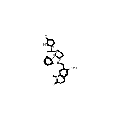 COc1cc2c(cc1CN[C@H]1CCCN(C(C)[C@@H]3CCC(=O)N3)[C@H]1c1ccccc1)N(C)C(=O)CC2